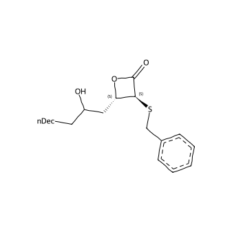 CCCCCCCCCCCC(O)C[C@@H]1OC(=O)[C@H]1SCc1ccccc1